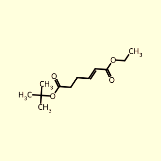 CCOC(=O)C=CCCC(=O)OC(C)(C)C